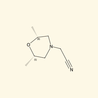 C[C@@H]1CN(CC#N)C[C@H](C)O1